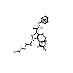 C=C(NCC1CCC2CC1C2(C)C)c1nn(CCCCCCl)c2c1CCc1sc(Br)cc1-2